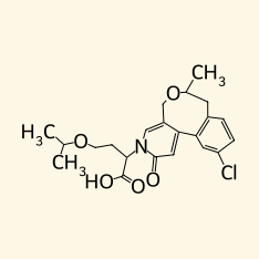 CC(C)OCCC(C(=O)O)n1cc2c(cc1=O)-c1cc(Cl)ccc1CC(C)OC2